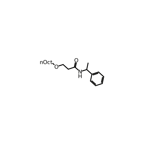 CCCCCCCCOCCC(=O)NC(C)c1ccccc1